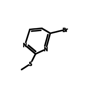 CSc1nccc(Br)n1